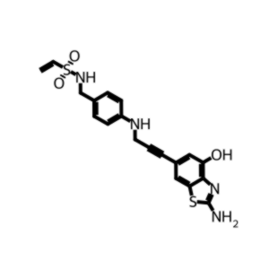 C=CS(=O)(=O)NCc1ccc(NCC#Cc2cc(O)c3nc(N)sc3c2)cc1